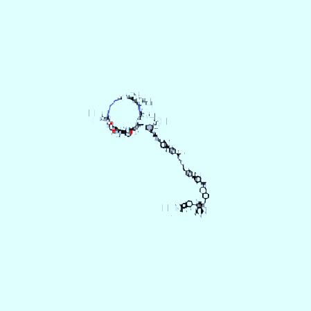 CO[C@H]1C[C@@H]2CC[C@@H](C)[C@@](O)(O2)C(=O)C(=O)N2CCCC[C@H]2C(=O)O[C@H]([C@H](C)C[C@@H]2CC[C@@H](OC(=O)NCc3cnc(N4CCN(C(=O)CCOCCN5CCN(c6ncc(C(=O)N7CCc8cc(Cn9nc(-c%10ccc%11oc(N)nc%11c%10)c%10c(N)ncnc%109)ccc8C7)cn6)CC5)CC4)nc3)[C@H](OC)C2)C[C@@H](O)[C@H](C)/C=C(\C)[C@@H](O)[C@@H](O)C(=O)[C@H](C)C[C@H](C)/C=C/C=C/C=C/1C